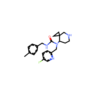 Cc1ccc(CNC(=O)N(Cc2ccc(F)cn2)C2CCNCC23CC3)cc1